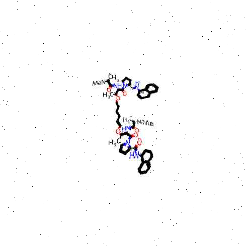 CN[C@@H](C)C(=O)N[C@H](C(=O)N1CCC[C@H]1CN[C@@H]1CCCc2ccccc21)[C@@H](C)OCCCCCCO[C@H](C)[C@H](NC(=O)[C@H](C)NC)C(=O)N1CCC[C@H]1C(=O)N[C@@H]1CCCc2ccccc21